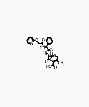 CC1=C(C(=O)O)N2C(=O)C(NC(=O)C(NC(=O)COc3ccccn3)c3ccccc3)[C@@H]2SC1